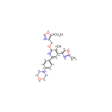 CCOC(=O)c1ocnc1COc1nc(-c2ccc(N3CCOCC3)cc2)cc(-c2coc(C)n2)c1C#N